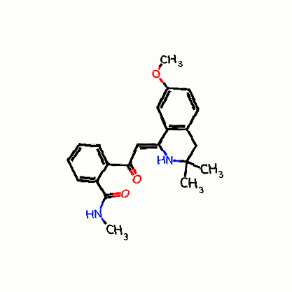 CNC(=O)c1ccccc1C(=O)/C=C1\NC(C)(C)Cc2ccc(OC)cc21